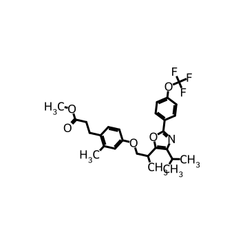 COC(=O)CCc1ccc(OCC(C)c2oc(-c3ccc(OC(F)(F)F)cc3)nc2C(C)C)cc1C